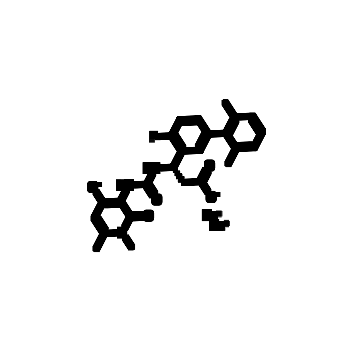 Cc1cccc(C)c1-c1ccc(F)c([C@H](CC(=O)[O-])NC(=O)Nc2c([O-])cc(C)n(C)c2=O)c1.[Na+].[Na+]